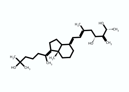 C=C([C@H](O)C/C(C)=C/C=C1\CCC[C@]2(C)/C(=C(\C)CCCC(C)(C)O)CCC12)[C@@H](C)O